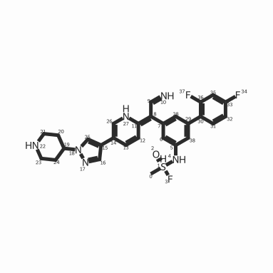 C[SH](=O)(F)Nc1cc(/C(C=N)=C2\C=CC(c3cnn(C4CCNCC4)c3)=CN2)cc(-c2ccc(F)cc2F)c1